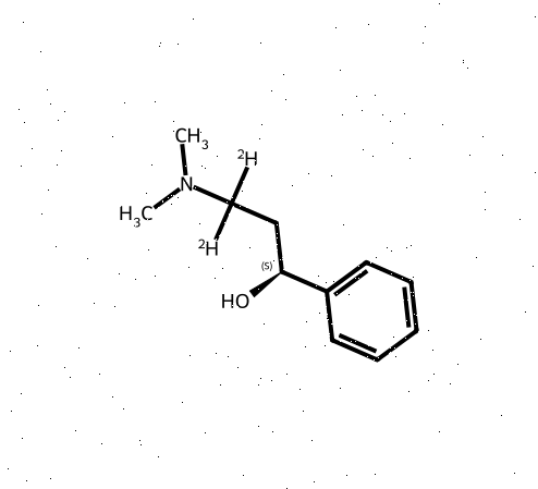 [2H]C([2H])(C[C@H](O)c1ccccc1)N(C)C